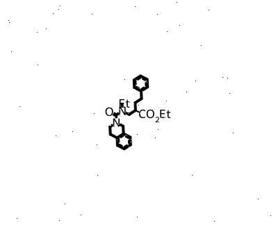 CCOC(=O)[C@H](CCc1ccccc1)CN(CC)C(=O)N1CCc2ccccc2C1